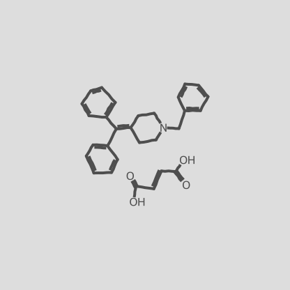 O=C(O)C=CC(=O)O.c1ccc(CN2CCC(=C(c3ccccc3)c3ccccc3)CC2)cc1